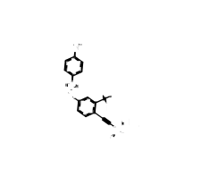 CNc1ccc(S(=O)(=O)Nc2ccc(C#C[Si](C)(C)C)c(C(F)(F)F)c2)cc1